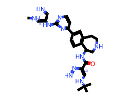 CN/C=C(\C=N)Nc1nccc(-c2ccc3c(c2)CCNCC3NC(=O)/C(=C/NC(C)(C)C)N=N)n1